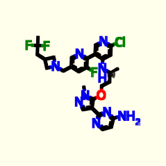 C[C@@H](CCOc1c(-c2nccc(N)n2)cnn1C)Nc1cc(Cl)ncc1-c1ncc(CN2CC(CC(C)(F)F)C2)cc1F